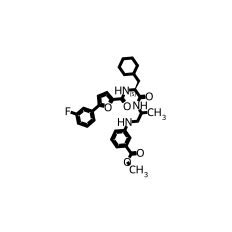 COC(=O)c1cccc(NCC(C)NC(=O)[C@H](CC2CCCCC2)NC(=O)c2ccc(-c3cccc(F)c3)o2)c1